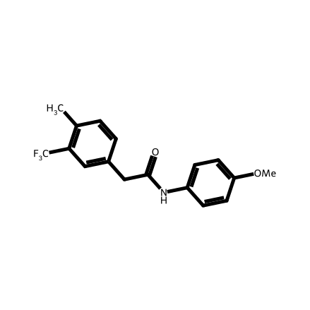 COc1ccc(NC(=O)Cc2ccc(C)c(C(F)(F)F)c2)cc1